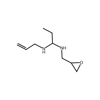 C=CCNC(CC)NCC1CO1